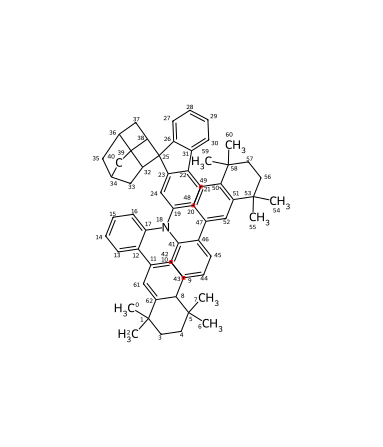 CC1(C)CCC(C)(C)C2CC=C(c3ccccc3N(c3ccc4c(c3)C3(c5ccccc5-4)C4CC5CC6CC3C64C5)c3ccccc3-c3ccc4c(c3)C(C)(C)CCC4(C)C)C=C21